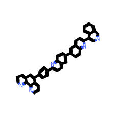 c1ccc2c(-c3ccc4cc(-c5ccc6nc(-c7ccc(-c8cc9cccnc9c9ncccc89)cc7)ccc6c5)ccc4n3)cncc2c1